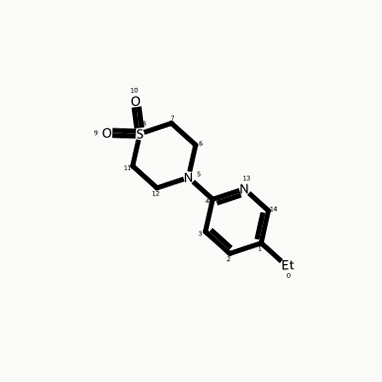 CCc1ccc(N2CCS(=O)(=O)CC2)nc1